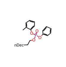 CCCCCCCCCCCCOP(=O)(Oc1ccccc1)Oc1ccccc1C